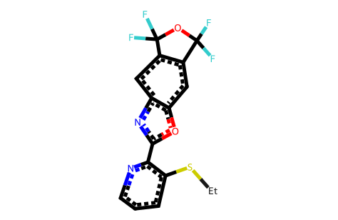 CCSc1cccnc1-c1nc2cc3c(cc2o1)C(F)(F)OC3(F)F